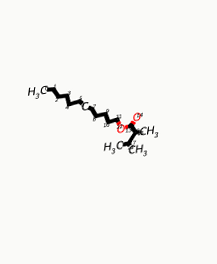 CCCCCCCCCCCCOC(=O)C(C)C(C)C